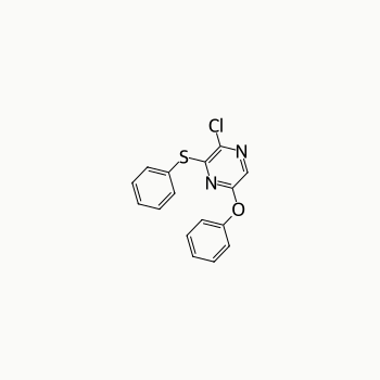 Clc1ncc(Oc2ccccc2)nc1Sc1ccccc1